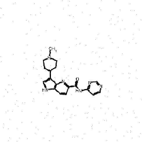 CN1CCC(c2c[nH]c3ccc(C(=O)Nc4ccncn4)nc23)CC1